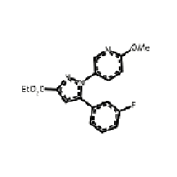 CCOC(=O)c1cc(-c2cccc(F)c2)n(-c2ccc(OC)nc2)n1